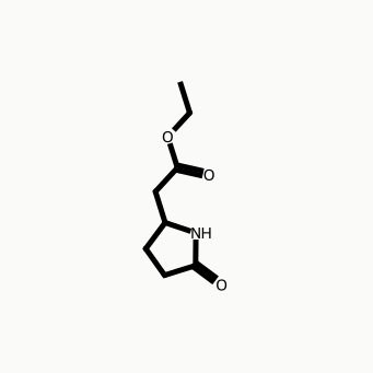 CCOC(=O)CC1CCC(=O)N1